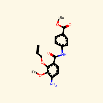 C=CCOc1c(C(=O)Nc2ccc(C(=O)OC(C)(C)C)cc2)ccc(N)c1OC(C)C